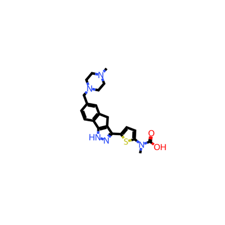 CN1CCN(Cc2ccc3c(c2)Cc2c(-c4ccc(N(C)C(=O)O)s4)n[nH]c2-3)CC1